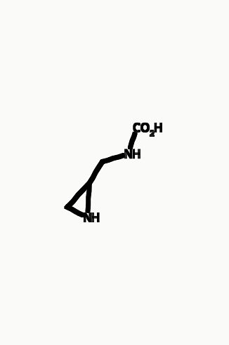 O=C(O)NCC1CN1